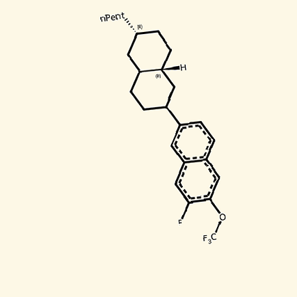 CCCCC[C@@H]1CC[C@@H]2CC(c3ccc4cc(OC(F)(F)F)c(F)cc4c3)CCC2C1